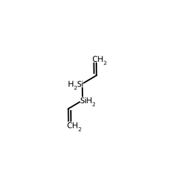 C=C[SiH2][SiH2]C=C